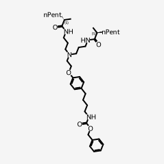 CCCCC[C@H](C)C(=O)NCCCN(CCCNC(=O)[C@@H](C)CCCCC)CCOc1ccc(CCCCNC(=O)OCc2ccccc2)cc1